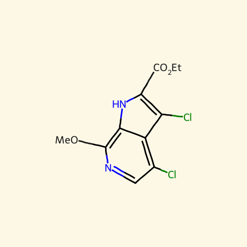 CCOC(=O)c1[nH]c2c(OC)ncc(Cl)c2c1Cl